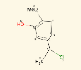 COc1ccc(C(C)Cl)cc1O